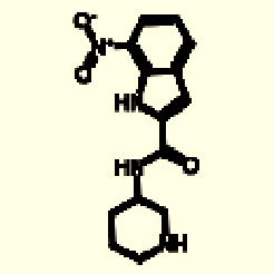 O=C(NC1CCCNC1)c1cc2cccc([N+](=O)[O-])c2[nH]1